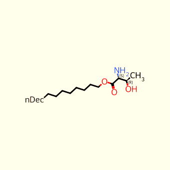 CCCCCCCCCCCCCCCCCCOC(=O)[C@@H](N)[C@@H](C)O